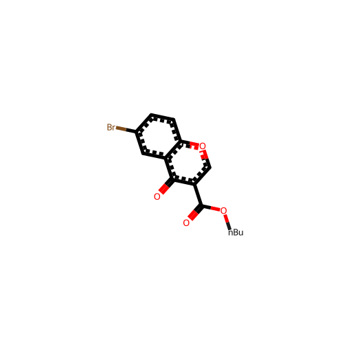 CCCCOC(=O)c1coc2ccc(Br)cc2c1=O